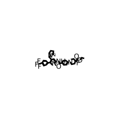 CCOC(=O)C1(F)CCN(c2ccc(C(=O)Nc3cc(CN4CCC[C@H]4C)c(-c4ccc(C(F)(F)F)cc4)cn3)cc2)CC1